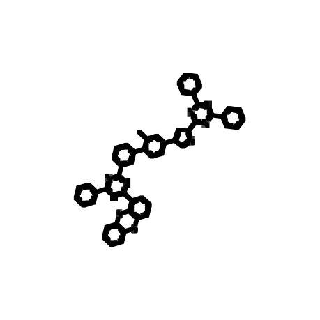 Cc1cc(C2=CC(c3nc(-c4ccccc4)nc(-c4ccccc4)n3)=S=C2)ccc1-c1cccc(-c2nc(-c3ccccc3)nc(-c3cccc4c3Sc3ccccc3S4)n2)c1